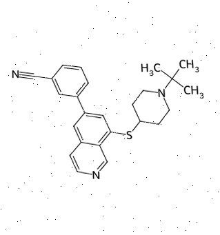 CC(C)(C)N1CCC(Sc2cc(-c3cccc(C#N)c3)cc3ccncc23)CC1